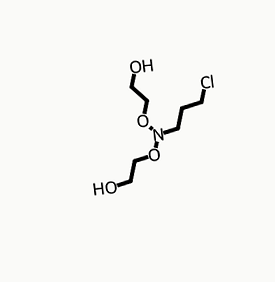 OCCON(CCCCl)OCCO